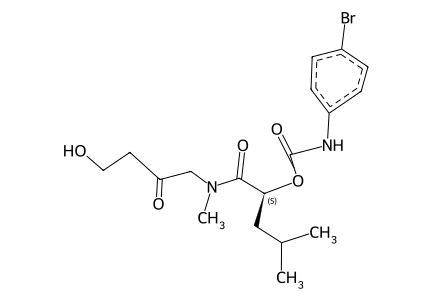 CC(C)C[C@H](OC(=O)Nc1ccc(Br)cc1)C(=O)N(C)CC(=O)CCO